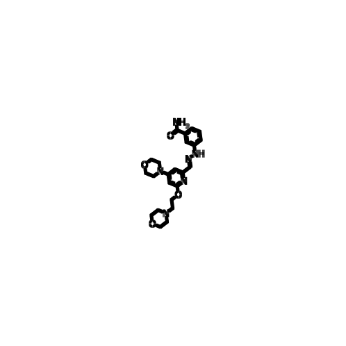 NC(=O)c1cccc(NN=Cc2cc(N3CCOCC3)cc(OCCN3CCOCC3)n2)c1